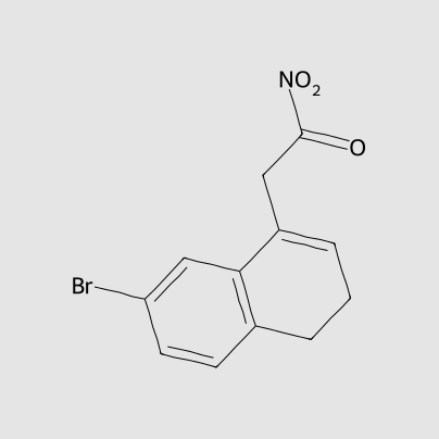 O=C(CC1=CCCc2ccc(Br)cc21)[N+](=O)[O-]